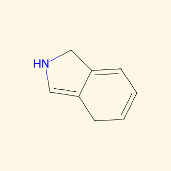 C1=CCC2=CNCC2=C1